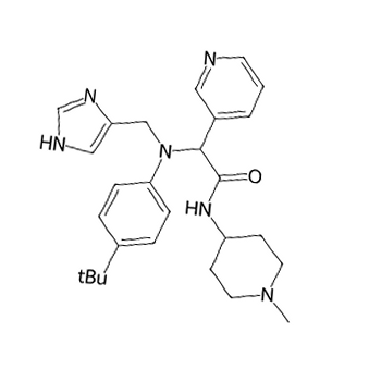 CN1CCC(NC(=O)C(c2cccnc2)N(Cc2c[nH]cn2)c2ccc(C(C)(C)C)cc2)CC1